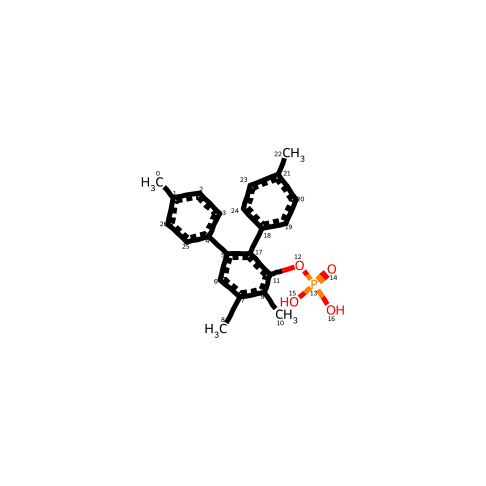 Cc1ccc(-c2cc(C)c(C)c(OP(=O)(O)O)c2-c2ccc(C)cc2)cc1